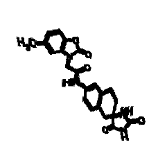 Cc1ccc2oc(=O)n(CC(=O)Nc3ccc4c(c3)CCC3(C4)NC(=O)NC3=O)c2c1